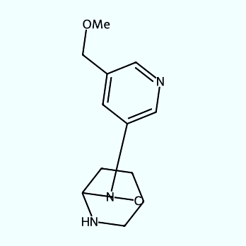 COCc1cncc(N2CC3CCC(C2)NC3)c1